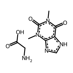 Cn1c(=O)c2[nH]cnc2n(C)c1=O.NCC(=O)O